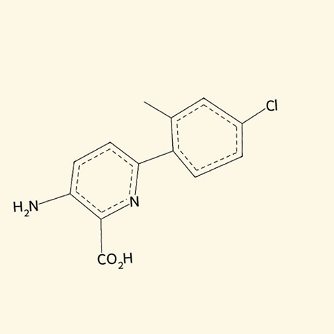 Cc1cc(Cl)ccc1-c1ccc(N)c(C(=O)O)n1